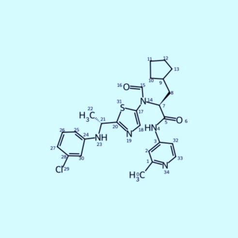 Cc1cc(NC(=O)[C@H](CC2CCCC2)N(C=O)c2cnc([C@@H](C)Nc3cccc(Cl)c3)s2)ccn1